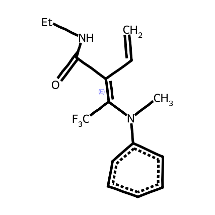 C=C/C(C(=O)NCC)=C(\N(C)c1ccccc1)C(F)(F)F